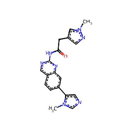 Cn1cc(CC(=O)Nc2ncc3ccc(-c4cncn4C)cc3n2)cn1